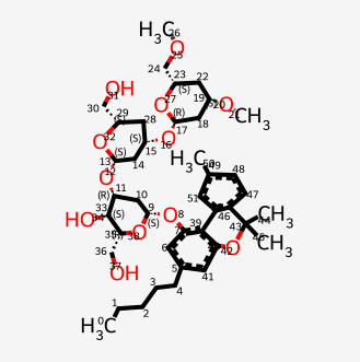 CCCCCc1cc(O[C@H]2C[C@@H](O[C@H]3C[C@@H](O[C@H]4C[C@@H](OC)C[C@@H](COC)O4)C[C@@H](CO)O3)[C@H](O)[C@@H](CO)O2)c2c(c1)OC(C)(C)c1ccc(C)cc1-2